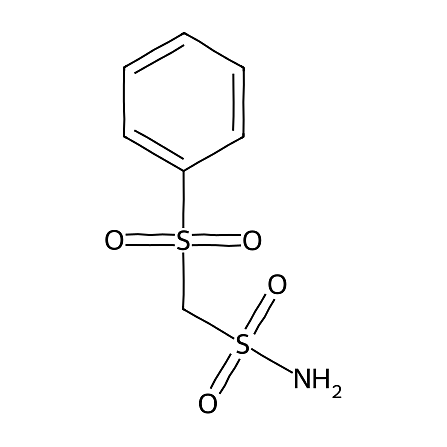 NS(=O)(=O)CS(=O)(=O)c1ccccc1